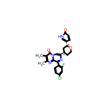 Cc1nc2c(-c3ccc(Cl)cc3F)nc([C@@H]3CCO[C@@H](c4ccc(=O)[nH]c4)C3)cn2c(=O)c1C